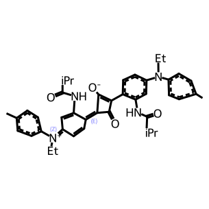 CCN(c1ccc(C)cc1)c1ccc(C2=C([O-])/C(=C3C=C/C(=[N+](\CC)c4ccc(C)cc4)C=C/3NC(=O)C(C)C)C2=O)c(NC(=O)C(C)C)c1